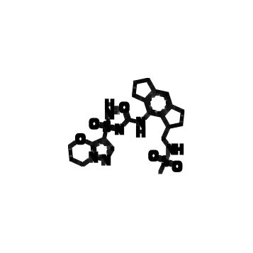 CS(=O)(=O)NCC1CCc2cc3c(c(NC(=O)N=S(N)(=O)c4cnn5c4OCCC5)c21)CCC3